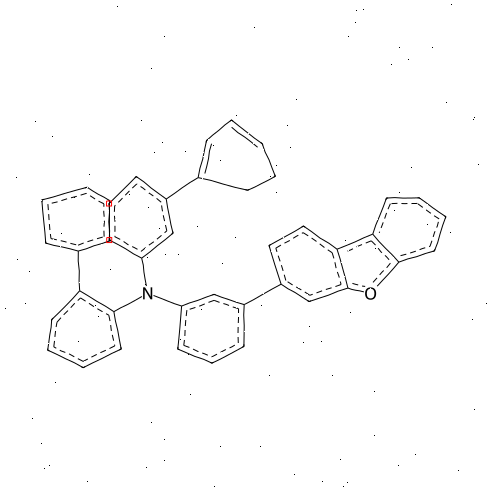 C1=CCCC(c2cccc(N(c3cccc(-c4ccc5c(c4)oc4ccccc45)c3)c3ccccc3-c3ccccc3)c2)=C1